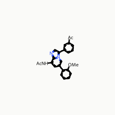 COc1ccccc1-c1cc(NC(C)=O)c2ncc(-c3cccc(C(C)=O)c3)n2c1